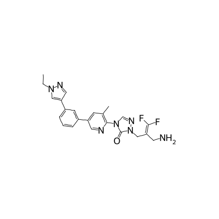 CCn1cc(-c2cccc(-c3cnc(-n4cnn(CC(CN)=C(F)F)c4=O)c(C)c3)c2)cn1